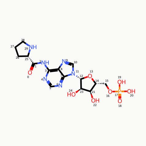 O=C(Nc1ncnc2c1ncn2[C@@H]1O[C@H](COP(=O)(O)O)[C@@H](O)[C@H]1O)[C@@H]1CCCN1